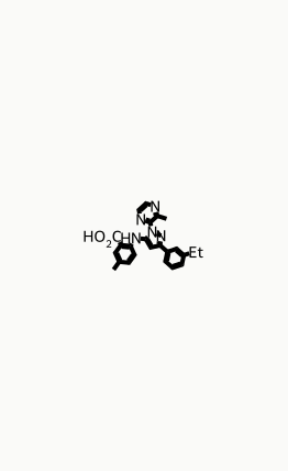 CCc1cccc(-c2cc(Nc3ccc(C)cc3C(=O)O)n(-c3nccnc3C)n2)c1